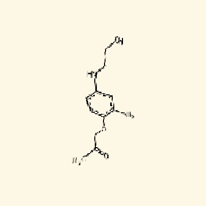 CC(=O)COc1ccc(NCCO)cc1N